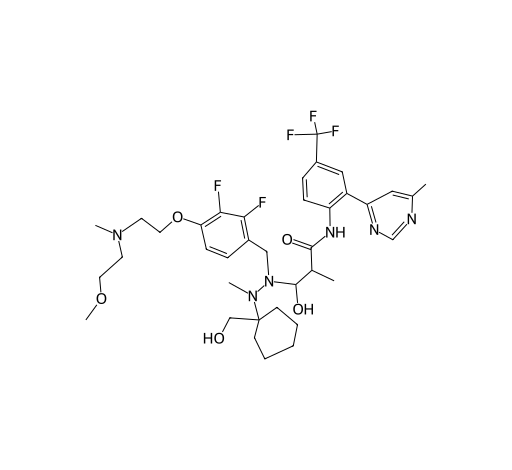 COCCN(C)CCOc1ccc(CN(C(O)C(C)C(=O)Nc2ccc(C(F)(F)F)cc2-c2cc(C)ncn2)N(C)C2(CO)CCCCC2)c(F)c1F